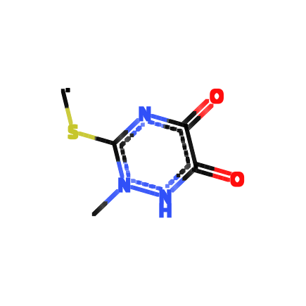 [CH2]Sc1nc(=O)c(=O)[nH]n1C